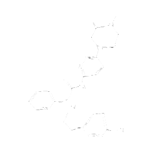 C[C@H](CN[C@@H](C(=O)Nc1ccc(N2CCN(C)C(=O)[C@H]2C)cn1)c1ccccc1)c1ccc(C#N)cc1